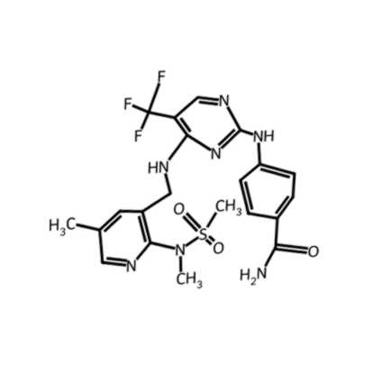 Cc1cnc(N(C)S(C)(=O)=O)c(CNc2nc(Nc3ccc(C(N)=O)cc3)ncc2C(F)(F)F)c1